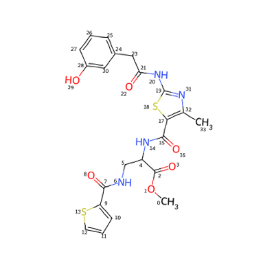 COC(=O)C(CNC(=O)c1cccs1)NC(=O)c1sc(NC(=O)Cc2cccc(O)c2)nc1C